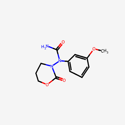 COc1cccc(N(C(N)=O)N2CCCOC2=O)c1